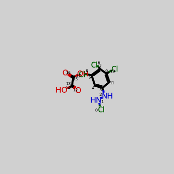 ClNNc1cc(Cl)c(Cl)c(Cl)c1.O=C(O)C(=O)O